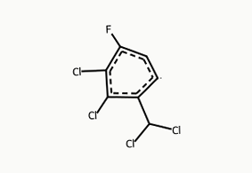 Fc1c[c]c(C(Cl)Cl)c(Cl)c1Cl